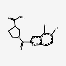 NC(=O)C1CCN(C(=O)c2cc3c(Cl)c(Cl)ccc3[nH]2)C1